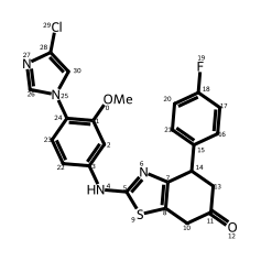 COc1cc(Nc2nc3c(s2)CC(=O)CC3c2ccc(F)cc2)ccc1-n1cnc(Cl)c1